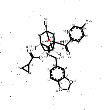 O=C(O[C@H]1[C@@H]2[C@@H]3C[C@@H](C[C@H]1/C3=N/Cc1ccc3c(c1)OCO3)CN2C(=O)c1ccc(F)cn1)C1CC1